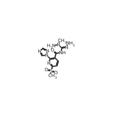 CN(N)/C(=N\N)NC(=O)c1ccc(S(C)(=O)=O)nc1-n1cncn1